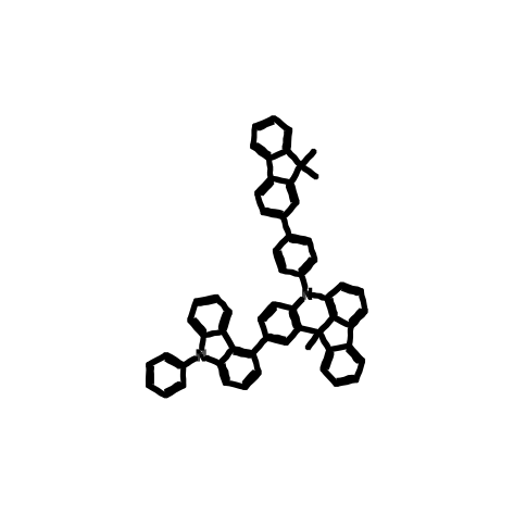 CC1(C)c2ccccc2-c2ccc(-c3ccc(N4c5ccc(-c6cccc7c6c6ccccc6n7-c6ccccc6)cc5C5(C)c6ccccc6-c6cccc4c65)cc3)cc21